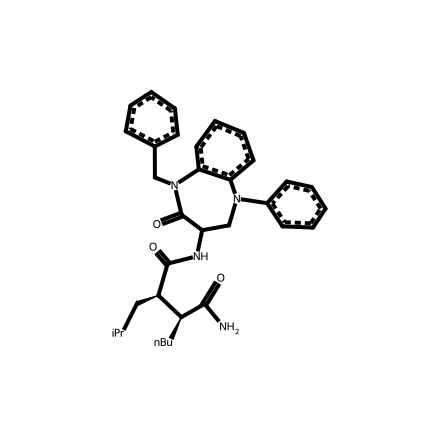 CCCC[C@H](C(N)=O)[C@@H](CC(C)C)C(=O)NC1CN(c2ccccc2)c2ccccc2N(Cc2ccccc2)C1=O